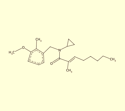 CCCCCC=C(C)C(=O)N(Cc1cccc(OC)c1C)C1CC1